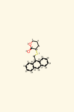 O=C1OCCCC1SCc1c2ccccc2cc2ccccc12